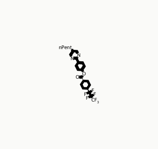 CCCCCc1cnc(-c2ccc(OC(=O)[C@H]3CC[C@H](C(F)(F)C(F)(F)C(F)(F)F)CC3)cc2)nc1